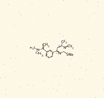 C=N/C(=C\C(=N/CSC)c1cccc(C(=C)N(C)C)c1)C(F)(F)F